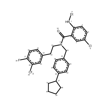 CCNc1ccc(Cl)cc1C(=O)N(CCc1ccc(F)c(C(F)(F)F)c1)Cc1ccc(C2CCCC2)cc1